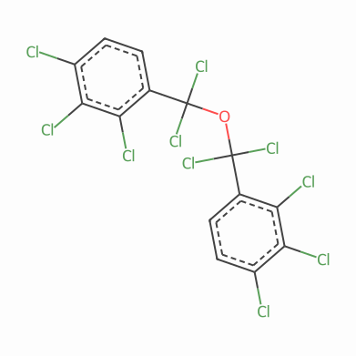 Clc1ccc(C(Cl)(Cl)OC(Cl)(Cl)c2ccc(Cl)c(Cl)c2Cl)c(Cl)c1Cl